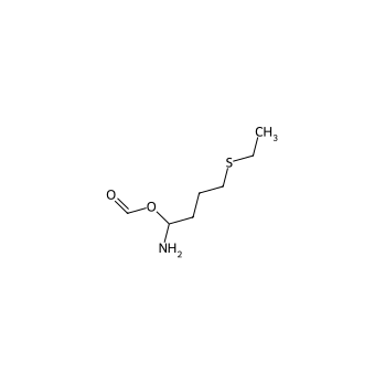 CCSCCCC(N)OC=O